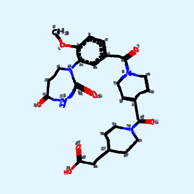 COc1ccc(C(=O)N2CCC(C(=O)N3CCC(CC(=O)O)CC3)CC2)cc1N1CCC(=O)NC1=O